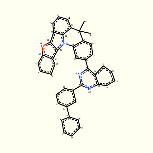 CC1(C)c2ccc(-c3nc(-c4cccc(-c5ccccc5)c4)nc4ccccc34)cc2-n2c3c1cccc3c1oc3ccccc3c12